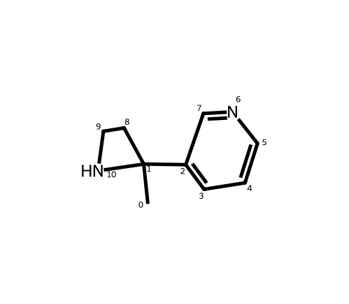 CC1(c2cccnc2)CCN1